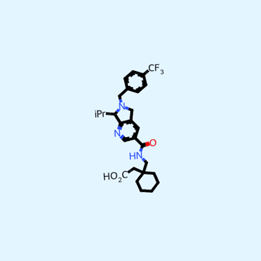 CC(C)C1c2ncc(C(=O)NCC3(CC(=O)O)CCCCC3)cc2CN1Cc1ccc(C(F)(F)F)cc1